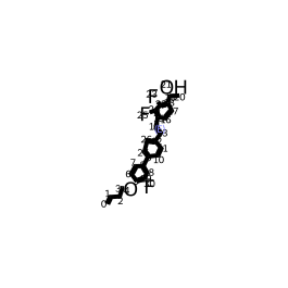 C=CCCOc1ccc(-c2ccc(/C=C/c3ccc(C(C)O)c(F)c3F)cc2)cc1F